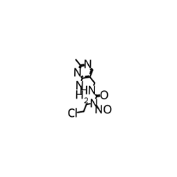 Cc1ncc(CNC(=O)N(CCCl)N=O)c(N)n1